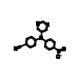 N#Cc1ccc(N(c2ccc([N+](=O)[O-])cc2)c2cncnc2)cc1